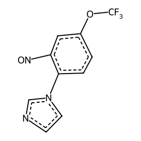 O=Nc1cc(OC(F)(F)F)ccc1-n1ccnc1